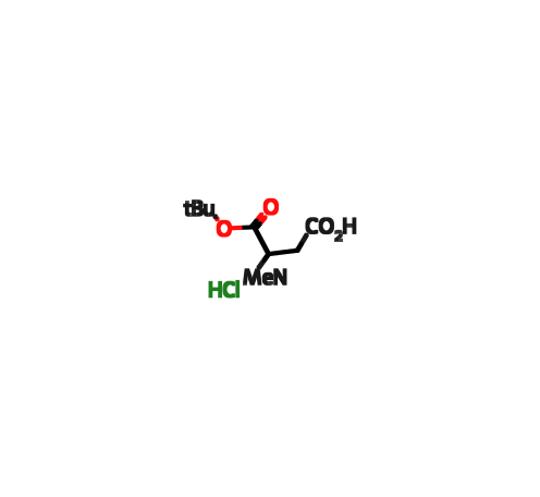 CNC(CC(=O)O)C(=O)OC(C)(C)C.Cl